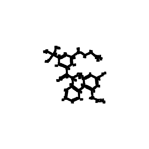 COc1cc(F)ccc1-c1ccncc1N(C)C(=O)c1cc(SCCN)cc(C(F)(F)F)c1